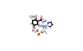 CCN1CCC[C@H]1CNC(=O)c1c(OC)ccc(Br)c1OC.C[S+](C)[O-]